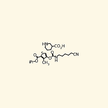 Cc1c(OC(=O)NCCCCCC#N)csc1C(=O)OC(C)C.O=C(O)C1CCCNC1